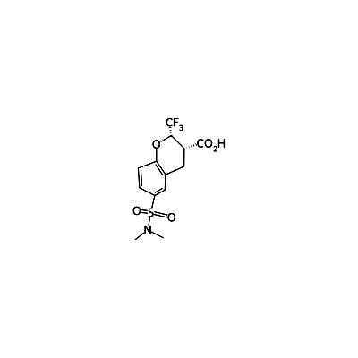 CN(C)S(=O)(=O)c1ccc2c(c1)C[C@@H](C(=O)O)[C@@H](C(F)(F)F)O2